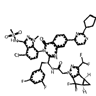 Cn1nc(NS(C)(=O)=O)c2c(Cl)ccc(-n3c([C@H](Cc4cc(F)cc(F)c4)NC(=O)Cn4nc(C(F)F)c5c4C(F)(F)[C@@H]4C[C@H]54)nc4cc(-c5ccnc(C6CCCC6)n5)ccc4c3=O)c21